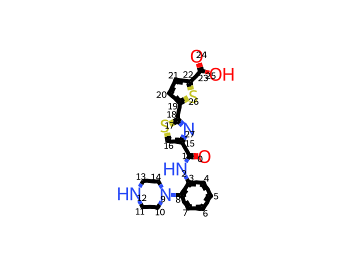 O=C(Nc1ccccc1N1CCNCC1)c1csc(-c2ccc(C(=O)O)s2)n1